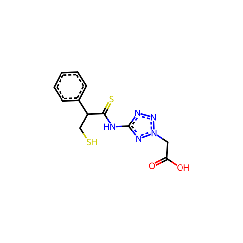 O=C(O)Cn1nnc(NC(=S)C(CS)c2ccccc2)n1